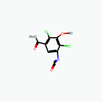 CCOc1c(Cl)c(N=C=O)cc(C(=O)OC)c1Cl